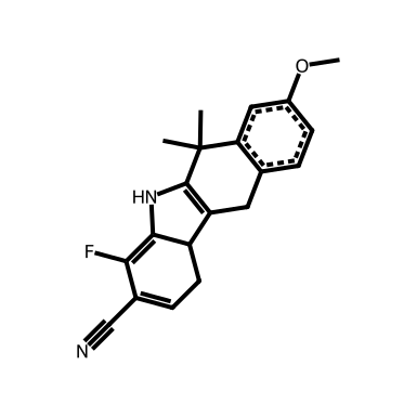 COc1ccc2c(c1)C(C)(C)C1=C(C2)C2CC=C(C#N)C(F)=C2N1